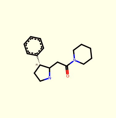 O=C(CC1[N]CC[C@@H]1c1ccccc1)N1CCCCC1